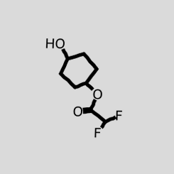 O=C(OC1CCC(O)CC1)C(F)F